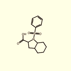 O=C(O)C1CC2CCCCC2N1S(=O)(=O)c1ccccc1